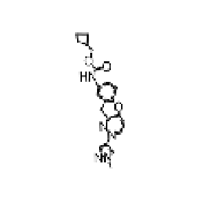 Cn1cc(-n2ccc(=O)c(Cc3cccc(NC(=O)OCC4CCC4)c3)n2)cn1